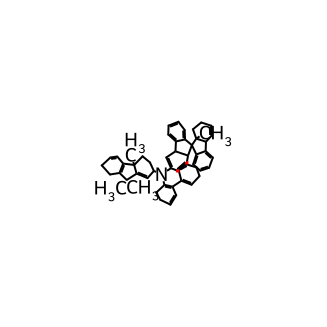 CC1(C)C2=CC(N(C3=CC4c5ccccc5C5(c6ccccc6C6C=CCCC65C)C4C=C3)C3=C(C4=CCCC=C4)C=CCC3)CCC2(C)C2=C1CCC=C2